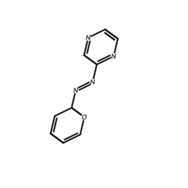 [c]1nccnc1N=NC1C=CC=CO1